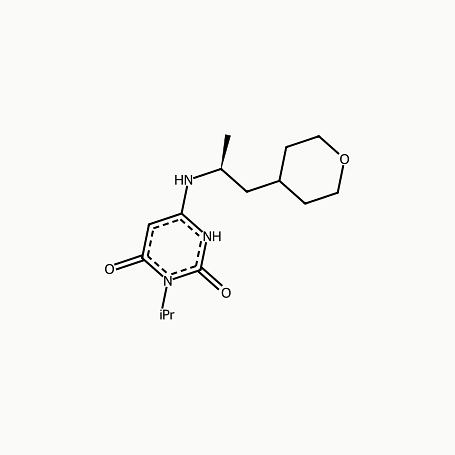 CC(C)n1c(=O)cc(N[C@@H](C)CC2CCOCC2)[nH]c1=O